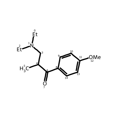 CCN(CC)CC(C)C(=O)c1ccc(OC)cc1